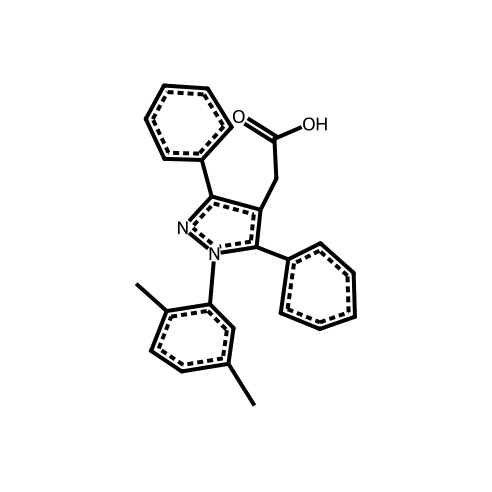 Cc1ccc(C)c(-n2nc(-c3ccccc3)c(CC(=O)O)c2-c2ccccc2)c1